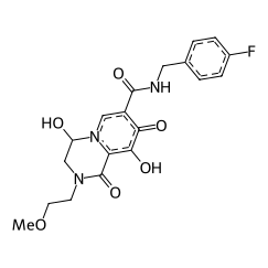 COCCN1CC(O)n2cc(C(=O)NCc3ccc(F)cc3)c(=O)c(O)c2C1=O